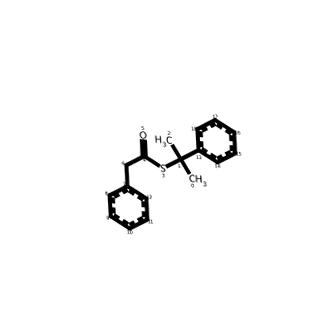 CC(C)(SC(=O)Cc1ccccc1)c1ccccc1